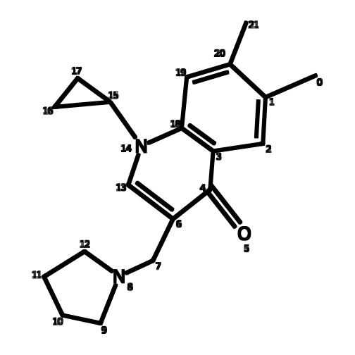 Cc1cc2c(=O)c(CN3CCCC3)cn(C3CC3)c2cc1C